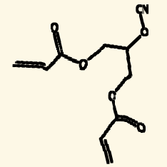 C=CC(=O)OCC(COC(=O)C=C)OC#N